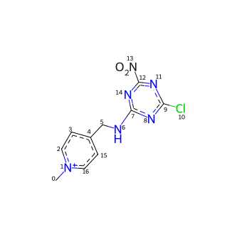 C[n+]1ccc(CNc2nc(Cl)nc([N+](=O)[O-])n2)cc1